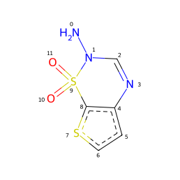 NN1C=Nc2ccsc2S1(=O)=O